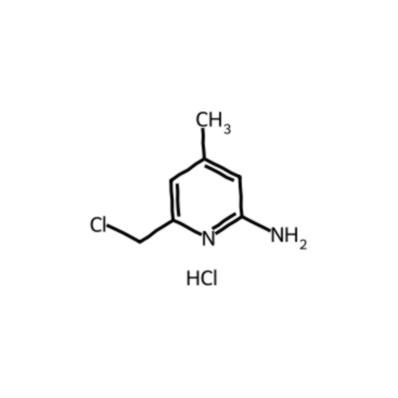 Cc1cc(N)nc(CCl)c1.Cl